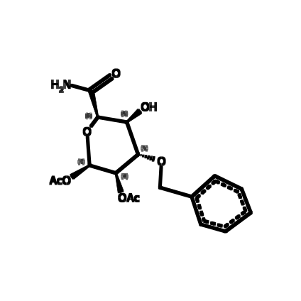 CC(=O)O[C@H]1O[C@@H](C(N)=O)[C@@H](O)[C@H](OCc2ccccc2)[C@H]1OC(C)=O